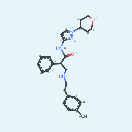 N#Cc1ccc(CCNCC(C(=O)Nc2ccn(C3CCOCC3)n2)c2ccccc2)cc1